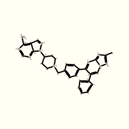 Cc1nc2nc(-c3ccc(CN4CCC(n5ncc6c(N)ncnc65)CC4)cc3)c(-c3ccccc3)cn2n1